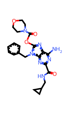 Nc1nc(C(=O)NCC2CC2)nc2c1nc(OC(=O)N1CCOCC1)n2Cc1ccccc1